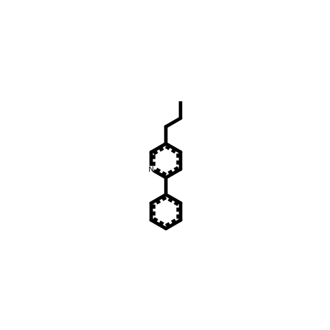 CCCc1ccc(-c2ccccc2)nc1